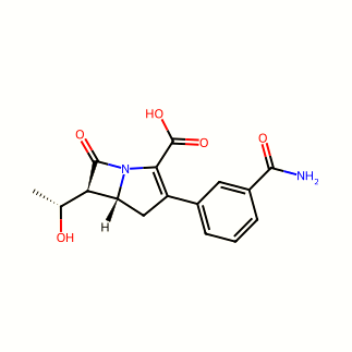 C[C@@H](O)[C@H]1C(=O)N2C(C(=O)O)=C(c3cccc(C(N)=O)c3)C[C@H]12